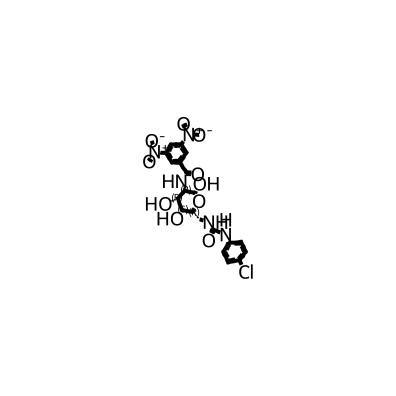 O=C(NC[C@H]1OC(O)[C@H](NC(=O)c2cc([N+](=O)[O-])cc([N+](=O)[O-])c2)[C@@H](O)[C@@H]1O)Nc1ccc(Cl)cc1